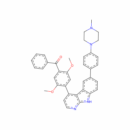 COc1cc(-c2ccnc3[nH]c4ccc(-c5ccc(N6CCN(C)CC6)cc5)cc4c23)c(OC)cc1C(=O)c1ccccc1